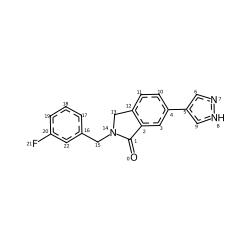 O=C1c2cc(-c3cn[nH]c3)ccc2CN1Cc1cccc(F)c1